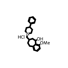 COc1cccc2c1C(O)CC(CN1CCC(c3ccccc3)CC1)CC2.Cl